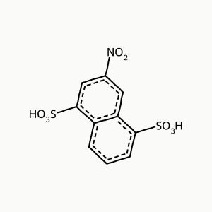 O=[N+]([O-])c1cc(S(=O)(=O)O)c2cccc(S(=O)(=O)O)c2c1